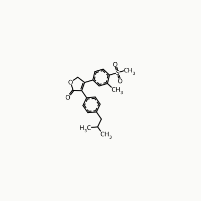 Cc1cc(C2=C(c3ccc(CC(C)C)cc3)C(=O)OC2)ccc1S(C)(=O)=O